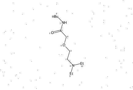 CCCCNC(=O)COCCN(CC)CC